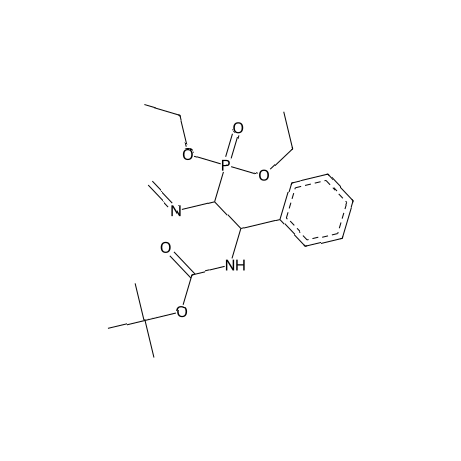 C=NC(C(NC(=O)OC(C)(C)C)c1ccccc1)P(=O)(OCC)OCC